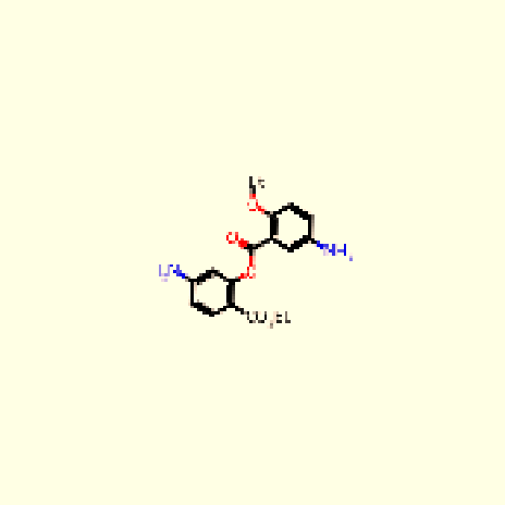 CCOC(=O)c1ccc(N)cc1OC(=O)c1cc(N)ccc1OCC